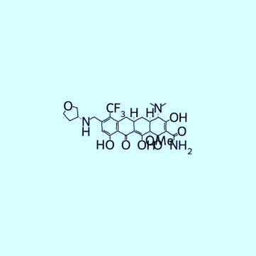 CO[C@@]12C(=O)C(C(N)=O)=C(O)[C@@H](N(C)C)[C@@H]1C[C@@H]1Cc3c(c(O)cc(CN[C@@H]4CCOC4)c3C(F)(F)F)C(=O)C1=C2O